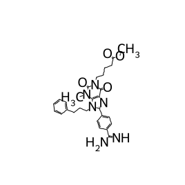 COC(=O)CCCCn1c(=O)c2nc(-c3ccc(C(=N)N)cc3)n(CCCc3ccccc3)c2n(C)c1=O